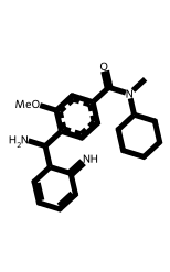 COc1cc(C(=O)N(C)C2CCCCC2)ccc1C(N)C1C=CC=CC1=N